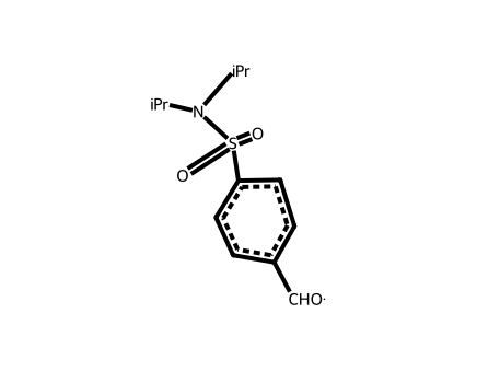 CC(C)N(C(C)C)S(=O)(=O)c1ccc([C]=O)cc1